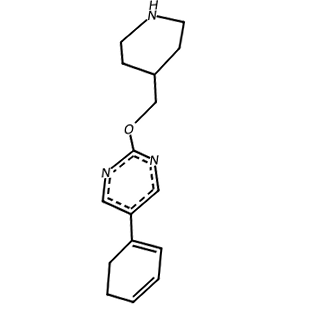 C1=CCCC(c2cnc(OCC3CCNCC3)nc2)=C1